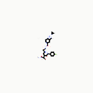 CCNC(=O)[C@@]1(C)COc2c1cc(C(O)(CNC(=O)c1cc(OC)c3nn(C4CC4)cc3c1)C(F)(F)F)nc2-c1ccc(F)cc1